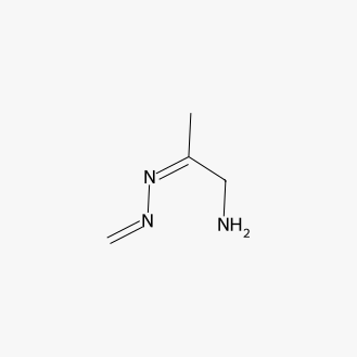 C=N/N=C(/C)CN